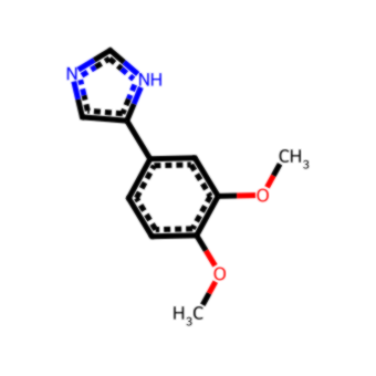 COc1ccc(-c2cnc[nH]2)cc1OC